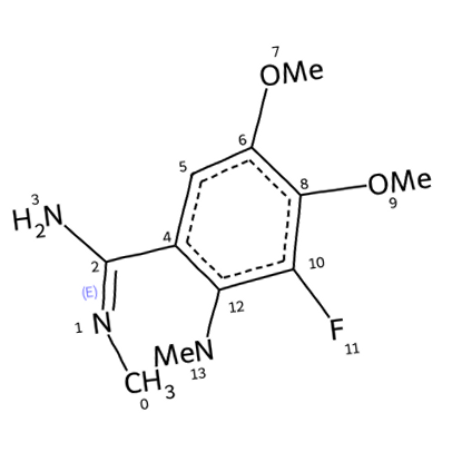 C/N=C(/N)c1cc(OC)c(OC)c(F)c1NC